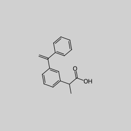 C=C(c1ccccc1)c1cccc(C(C)C(=O)O)c1